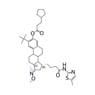 CO/N=C1\C[C@@H](CCCC(=O)Nc2ncc(C)s2)C2C3CCc4cc(OC(=O)CCC5CCCC5)c(C(C)(C)C)cc4C3CC[C@]12C